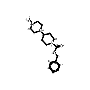 CN1CCN(C2CCN(C(=O)OCc3ccccc3)CC2)CC1